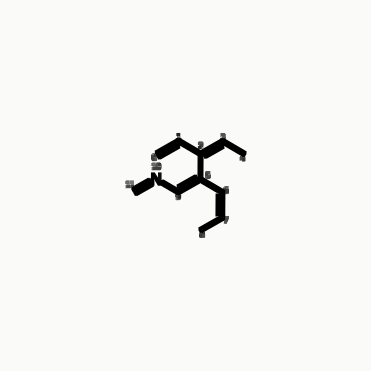 C=CC(=C/C)/C(/C=C\C)=C\N=C